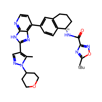 Cc1c(-c2nc3c(-c4ccc5c(c4)CCC[C@@H]5NC(=O)c4noc(C(C)(C)C)n4)ccnc3[nH]2)cnn1C1CCOCC1